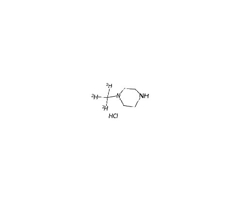 Cl.[2H]C([2H])([2H])N1CCNCC1